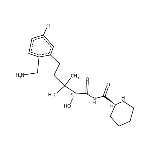 CC(C)(CCc1cc(Cl)ccc1CN)[C@@H](O)C(=O)NC(=O)[C@@H]1CCCCN1